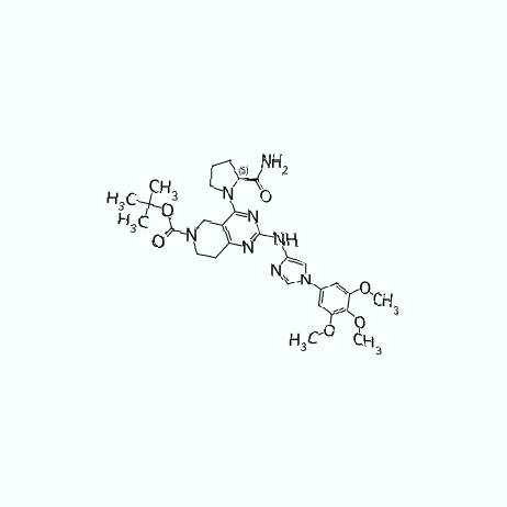 COc1cc(-n2cnc(Nc3nc4c(c(N5CCC[C@H]5C(N)=O)n3)CN(C(=O)OC(C)(C)C)CC4)c2)cc(OC)c1OC